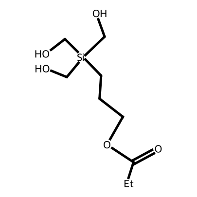 CCC(=O)OCCC[Si](CO)(CO)CO